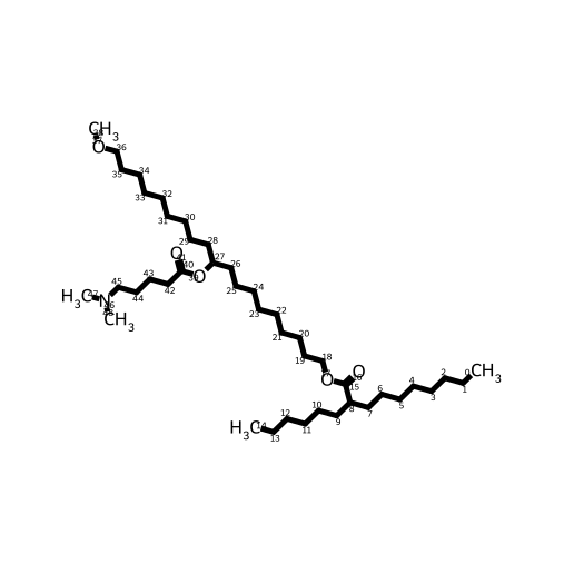 CCCCCCCCC(CCCCCC)C(=O)OCCCCCCCCCC(CCCCCCCCCOC)OC(=O)CCCCN(C)C